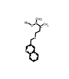 C[C@@H](CCSCc1cnc2ccccc2c1)N(C=O)OC(C)(C)C